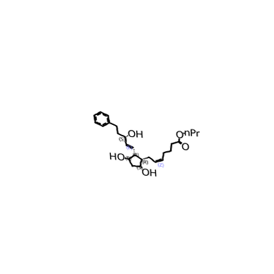 CCCOC(=O)CCC/C=C\C[C@@H]1[C@@H](/C=C/[C@@H](O)CCc2ccccc2)[C@H](O)C[C@@H]1O